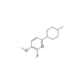 COc1ccc(C2CCC(C)CC2)nc1F